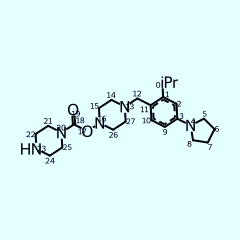 CC(C)c1cc(N2CCCC2)ccc1CN1CCN(OC(=O)N2CCNCC2)CC1